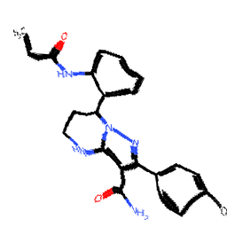 C=CC(=O)Nc1ccccc1C1CCNc2c(C(N)=O)c(-c3ccc(C(F)(F)F)cc3)nn21